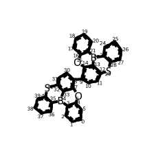 c1ccc2c(c1)Oc1c(-c3ccc4c5c3Oc3ccccc3B5c3ccccc3S4)ccc3c1B2c1ccccc1S3